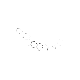 C[C@]1(C2CCOC2)C[C@@H]1C(=O)Nc1cc2cc(N3CCN([C@]4(C)COC[C@@H]4O)CC3)c(Cl)cc2cn1